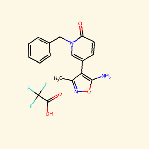 Cc1noc(N)c1-c1ccc(=O)n(Cc2ccccc2)c1.O=C(O)C(F)(F)F